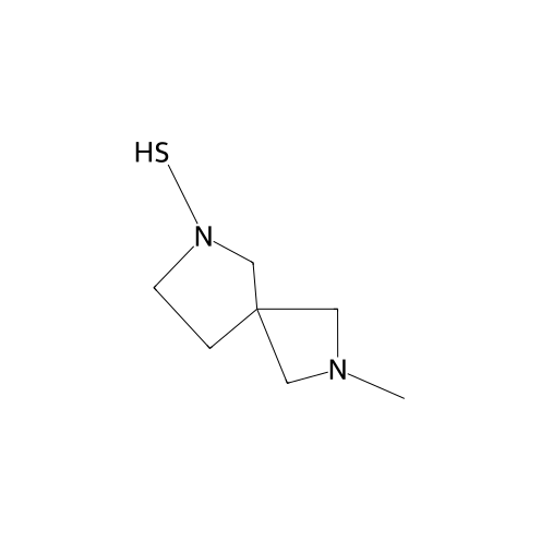 CN1CC2(CCN(S)C2)C1